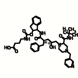 CC(C)(C)NC(=O)C1CN(Cc2cccnc2)CCN1C[C@@H](O)C[C@@H](Cc1ccccc1)C(=O)NC1c2ccccc2CC1OC(=O)NCCCC(=O)O